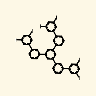 Ic1cc(I)cc(-c2cccc(-c3cc(-c4cccc(-c5cc(I)cc(I)c5)c4)cc(-c4cccc(-c5cc(I)cc(I)c5)c4)c3)c2)c1